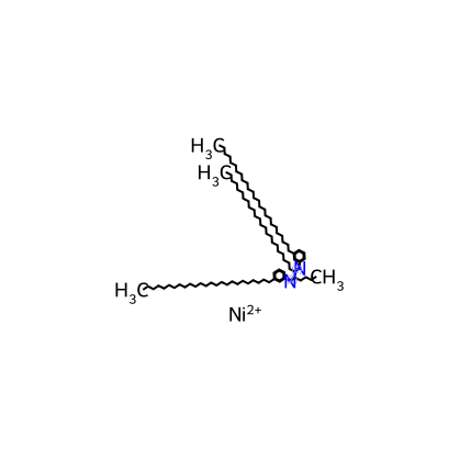 CCCCCCCCCCCCCCCCCCCCCCCCCc1cccc(/N=C(CCCC)\C(CCCCCCCCCCCCCCCCCCCCCCC)=N\c2cccc(CCCCCCCCCCCCCCCCCCCCCCCCC)c2)c1.[Ni+2]